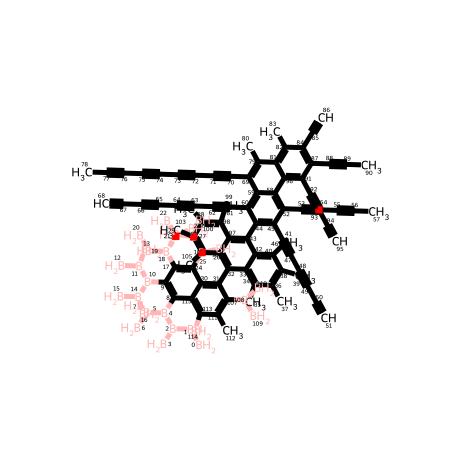 BBB(B)B(B(B)B)c1c(B(B(B)B)B(B)B)c(B(BB)B(B)B)c(B(B)B(B)B)c2c(-c3c4c(C)c(C)c(C)c(C)c4c(-c4c(C#CC#CC#C)c(C#CC#CC)c5c(c4C#CC#CC#CC#C)c(C#CC#CC#CC#CC)c(C)c4c(C)c(C#C)c(C#CC)c(C#CC#C)c45)c4c(C)c(C)c(C)c(C)c34)c(B(B)B)c(C)c(B)c12